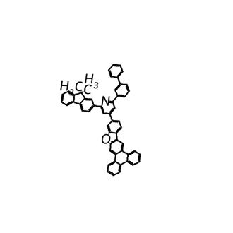 CC1(C)c2ccccc2-c2ccc(-c3cc(-c4ccc5c(c4)oc4cc6c7ccccc7c7ccccc7c6cc45)cc(-c4cccc(-c5ccccc5)c4)n3)cc21